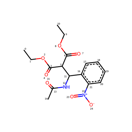 CCOC(=O)C(C(=O)OCC)C(NC(C)=O)c1ccccc1[N+](=O)[O-]